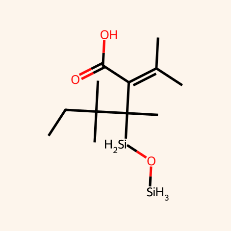 CCC(C)(C)C(C)([SiH2]O[SiH3])C(C(=O)O)=C(C)C